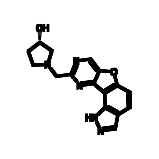 O[C@H]1CCN(Cc2ncc3oc4ccc5cn[nH]c5c4c3n2)C1